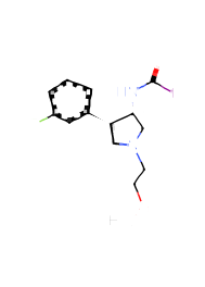 COCCN1C[C@@H](NC(=O)I)[C@H](c2cccc(F)c2)C1